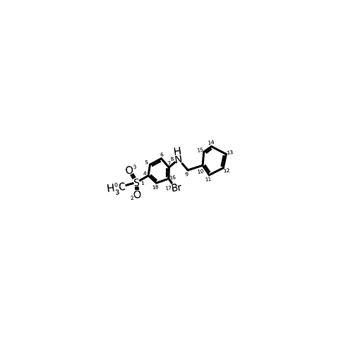 CS(=O)(=O)c1ccc(NCc2ccccc2)c(Br)c1